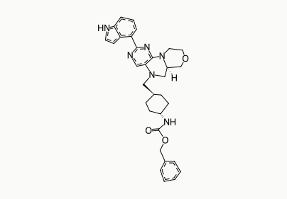 O=C(N[C@H]1CC[C@H](CN2C[C@@H]3COCCN3c3nc(-c4cccc5[nH]ccc45)ncc32)CC1)OCc1ccccc1